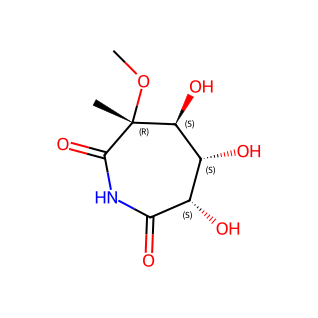 CO[C@@]1(C)C(=O)NC(=O)[C@@H](O)[C@@H](O)[C@@H]1O